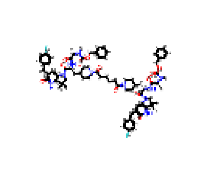 C[C@@H](C(=O)N[C@@H](CC1CCN(C(=O)CCCCC(=O)N2CCC(C[C@H](NC(=O)[C@H](C)N(C)C(=O)OCc3ccccc3)C(=O)N3CC(C)(C)c4[nH]c(=O)c(Cc5ccc(F)cc5)cc43)CC2)CC1)C(=O)N1CC(C)(C)c2[nH]c(=O)c(Cc3ccc(F)cc3)cc21)N(C)C(=O)OCc1ccccc1